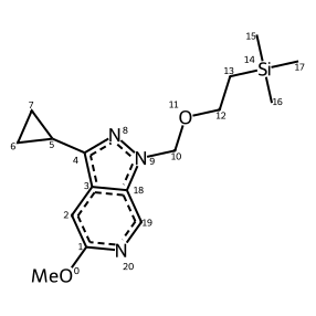 COc1cc2c(C3CC3)nn(COCC[Si](C)(C)C)c2cn1